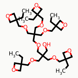 CCC1(COCC(CO)(COCC2(CC)COC2)COCC(COCC2(CC)COC2)(COCC2(CC)COC2)COCC2(CC)COC2)COC1